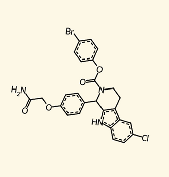 NC(=O)COc1ccc(C2c3[nH]c4ccc(Cl)cc4c3CCN2C(=O)Oc2ccc(Br)cc2)cc1